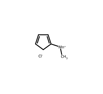 [CH3][Mn+][C]1=CC=CC1.[Cl-]